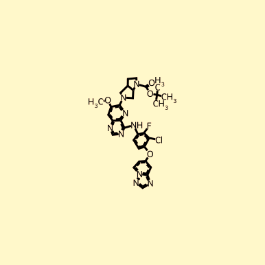 COc1cc2ncnc(Nc3ccc(Oc4ccn5ncnc5c4)c(Cl)c3F)c2nc1N1CC2CCN(C(=O)OC(C)(C)C)C2C1